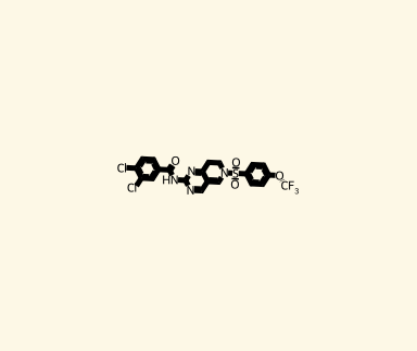 O=C(NC1N=CC2=CN(S(=O)(=O)c3ccc(OC(F)(F)F)cc3)CCC2=N1)c1ccc(Cl)c(Cl)c1